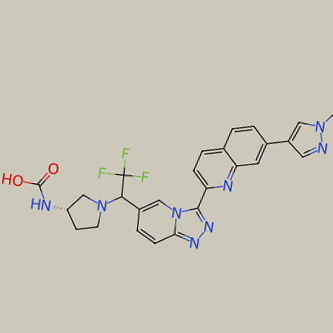 Cn1cc(-c2ccc3ccc(-c4nnc5ccc(C(N6CC[C@H](NC(=O)O)C6)C(F)(F)F)cn45)nc3c2)cn1